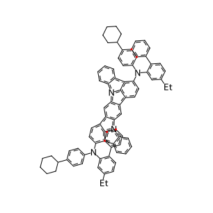 CCc1ccc(-c2ccccc2)c(N(c2ccc(C3CCCCC3)cc2)c2ccc3c4cc5c(cc4n4c6ccccc6c2c34)c2ccc(N(c3ccc(C4CCCCC4)cc3)c3cc(CC)ccc3-c3ccccc3)c3c4ccccc4n5c23)c1